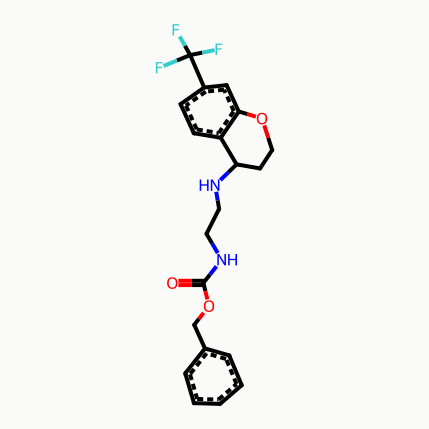 O=C(NCCNC1CCOc2cc(C(F)(F)F)ccc21)OCc1ccccc1